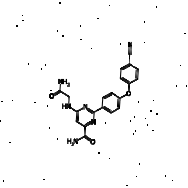 N#Cc1ccc(Oc2ccc(-c3nc(NCC(N)=O)cc(C(N)=O)n3)cc2)cc1